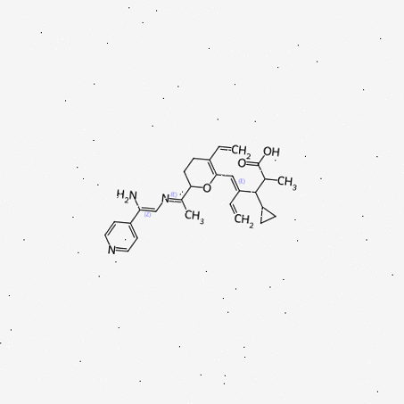 C=CC1=C(/C=C(\C=C)C(C2CC2)C(C)C(=O)O)OC(/C(C)=N/C=C(\N)c2ccncc2)CC1